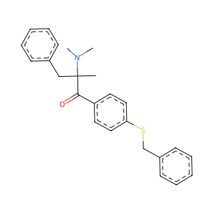 CN(C)C(C)(Cc1ccccc1)C(=O)c1ccc(SCc2ccccc2)cc1